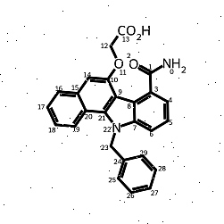 NC(=O)c1cccc2c1c1c(OCC(=O)O)cc3ccccc3c1n2Cc1ccccc1